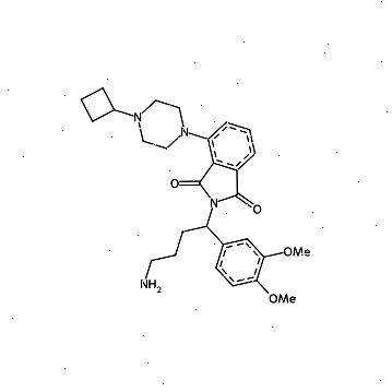 COc1ccc(C(CCCN)N2C(=O)c3cccc(N4CCN(C5CCC5)CC4)c3C2=O)cc1OC